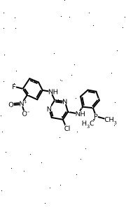 CP(C)c1ccccc1Nc1nc(Nc2ccc(F)c([N+](=O)[O-])c2)ncc1Cl